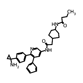 CCCC(=O)NC1CCC(CC(=O)Nc2cnc(-c3ccc(C4(N)CC4)cc3)c(-c3ccccc3)c2)CC1